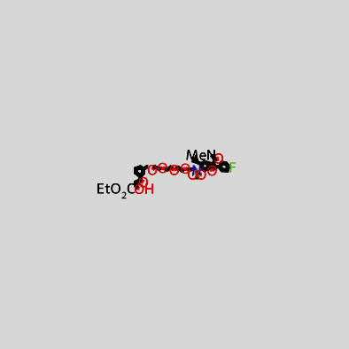 CCOC(=O)C(O)=CC(=O)c1cccc(COCCOCCOCCOCCN(c2cc3oc(-c4ccc(F)cc4)c(C(=O)NC)c3cc2C2CC2)S(C)(=O)=O)c1